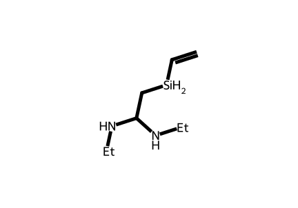 C=C[SiH2]CC(NCC)NCC